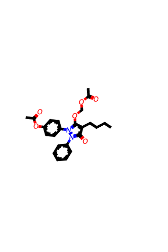 CCCCc1c(OCOC(C)=O)n(-c2ccc(OC(C)=O)cc2)n(-c2ccccc2)c1=O